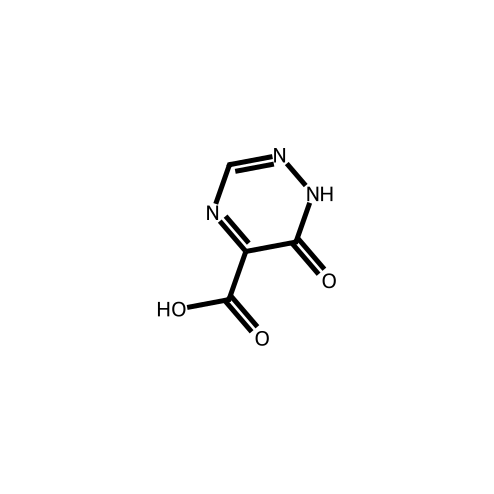 O=C(O)c1ncn[nH]c1=O